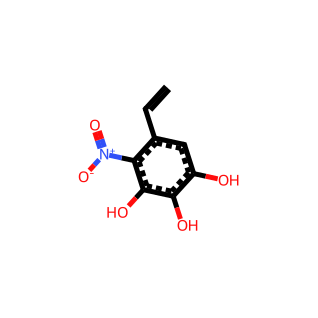 C=Cc1cc(O)c(O)c(O)c1[N+](=O)[O-]